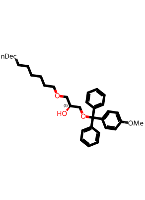 CCCCCCCCCCCCCCCCOC[C@H](O)COC(c1ccccc1)(c1ccccc1)c1ccc(OC)cc1